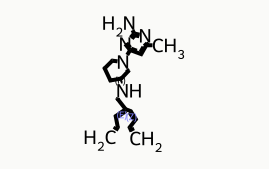 C=C/C=C\C(=C/C=C)CN[C@@H]1CCCN(c2cc(C)nc(N)n2)C1